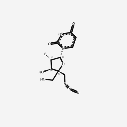 [N-]=[N+]=NC[C@]1(CO)O[C@@H](n2ccc(=O)[nH]c2=O)[C@@H](F)[C@@H]1O